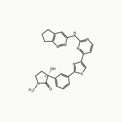 CN1CC[C@@](O)(c2cccc(-c3nc(-c4ccnc(Nc5cc6c(nn5)CCC6)n4)cs3)c2)C1=O